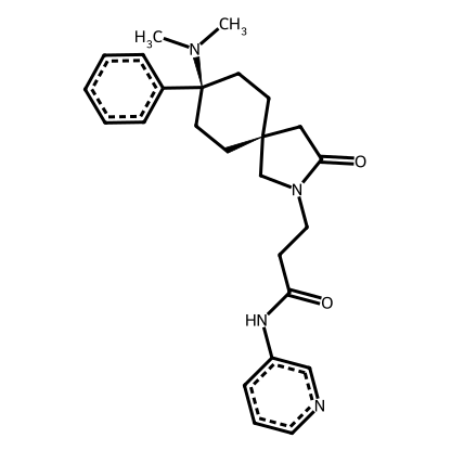 CN(C)[C@]1(c2ccccc2)CC[C@@]2(CC1)CC(=O)N(CCC(=O)Nc1cccnc1)C2